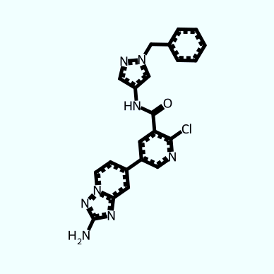 Nc1nc2cc(-c3cnc(Cl)c(C(=O)Nc4cnn(Cc5ccccc5)c4)c3)ccn2n1